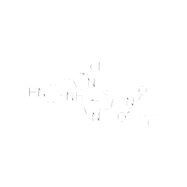 Cc1cc(Cl)nc(-c2ccnc3cc(CN4C(=O)C5C(C4=O)C5(C)C)sc23)c1NC1CCNCC1